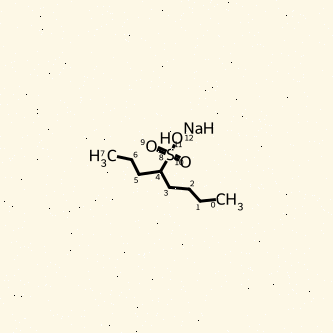 CCCCC(CCC)S(=O)(=O)O.[NaH]